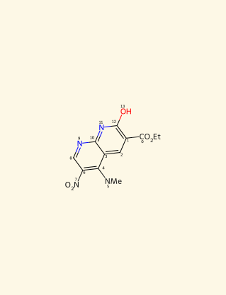 CCOC(=O)c1cc2c(NC)c([N+](=O)[O-])cnc2nc1O